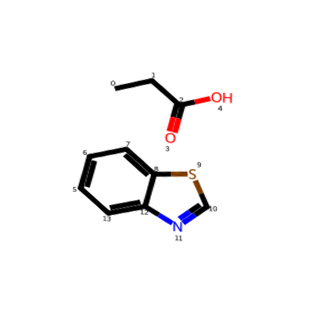 CCC(=O)O.c1ccc2scnc2c1